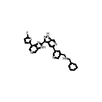 Fc1ccc(-c2cncc3[nH]c(-c4n[nH]c5cnc(-c6cncc(CNCc7ccccc7)c6)cc45)nc23)s1